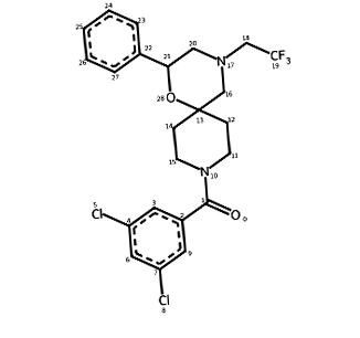 O=C(c1cc(Cl)cc(Cl)c1)N1CCC2(CC1)CN(CC(F)(F)F)CC(c1ccccc1)O2